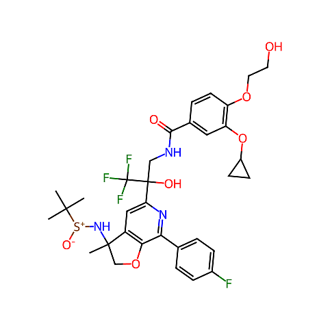 CC1(N[S+]([O-])C(C)(C)C)COc2c1cc(C(O)(CNC(=O)c1ccc(OCCO)c(OC3CC3)c1)C(F)(F)F)nc2-c1ccc(F)cc1